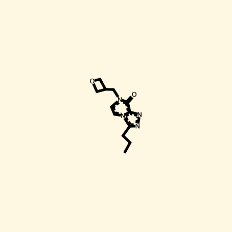 CCCc1nnc2c(=O)n(CC3COC3)ccn12